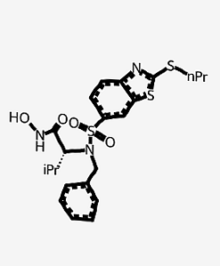 CCCSc1nc2ccc(S(=O)(=O)N(Cc3ccccc3)[C@@H](C(=O)NO)C(C)C)cc2s1